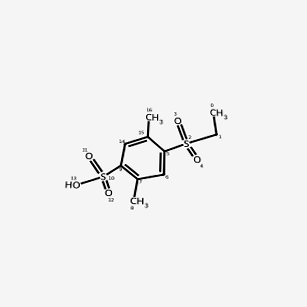 CCS(=O)(=O)c1cc(C)c(S(=O)(=O)O)cc1C